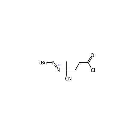 CC(C)(C)/N=N/C(C)(C#N)CCC(=O)Cl